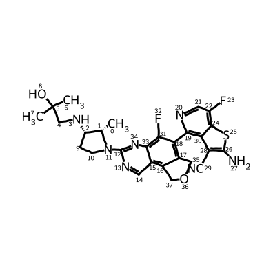 C[C@H]1[C@@H](NCC(C)(C)O)CCN1c1ncc2c3c(c(-c4ncc(F)c5sc(N)c(C#N)c45)c(F)c2n1)COC3